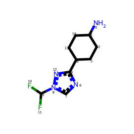 NC1CCC(c2ncn(C(F)F)n2)CC1